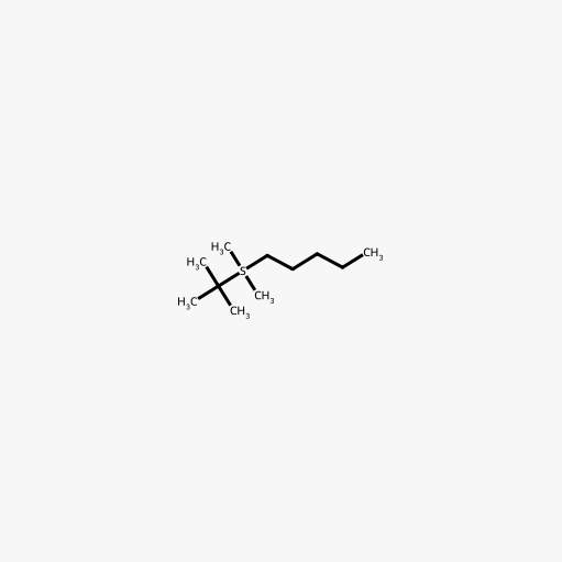 CCCCCS(C)(C)C(C)(C)C